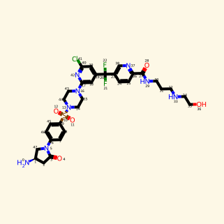 N[C@@H]1CC(=O)N(c2ccc(S(=O)(=O)N3CCN(c4cc(C(F)(F)c5ccc(C(=O)NCCCNCCO)nc5)cc(Cl)n4)CC3)cc2)C1